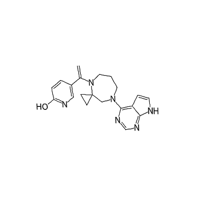 C=C(c1ccc(O)nc1)N1CCCN(c2ncnc3[nH]ccc23)CC12CC2